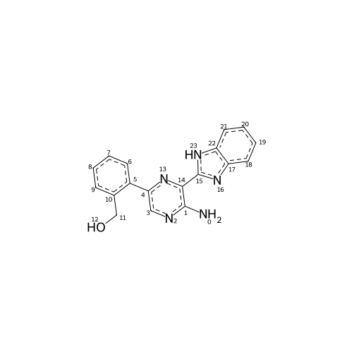 Nc1ncc(-c2ccccc2CO)nc1-c1nc2ccccc2[nH]1